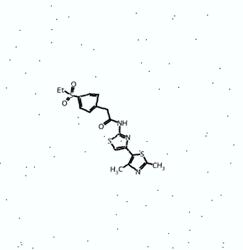 CCS(=O)(=O)c1ccc(CC(=O)Nc2nc(-c3sc(C)nc3C)cs2)cc1